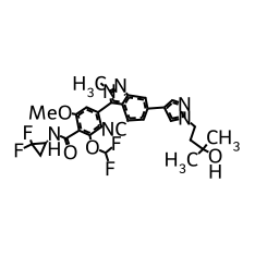 COc1cc(-c2c3c(C#N)cc(-c4cnn(CCC(C)(C)O)c4)cc3nn2C)cc(OC(F)F)c1C(=O)N[C@@H]1CC1(F)F